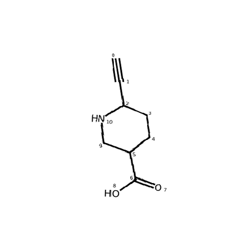 C#CC1CCC(C(=O)O)CN1